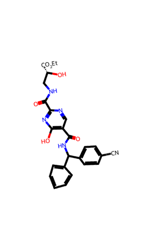 CCOC(=O)[C@H](O)CNC(=O)c1ncc(C(=O)NC(c2ccccc2)c2ccc(C#N)cc2)c(O)n1